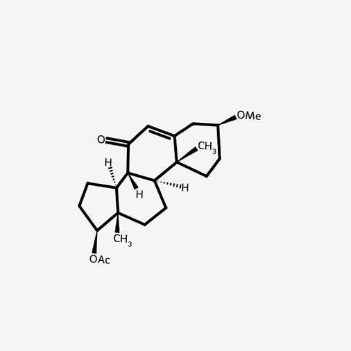 CO[C@H]1CC[C@@]2(C)C(=CC(=O)[C@H]3[C@@H]4CC[C@H](OC(C)=O)[C@@]4(C)CC[C@@H]32)C1